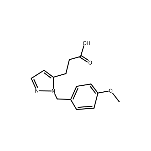 COc1ccc(Cn2nccc2CCC(=O)O)cc1